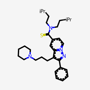 CC(C)CCN(CCC(C)C)C(=S)c1ccn2nc(-c3ccccc3)c(CCCN3CCCCC3)c2c1